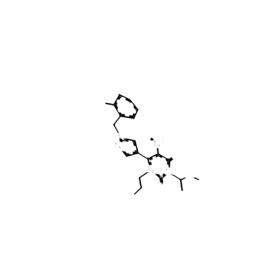 CCCn1c(-c2cnn(Cc3ccccc3F)c2)c([N+](=O)[O-])c(=O)n(C(C)OC)c1=O